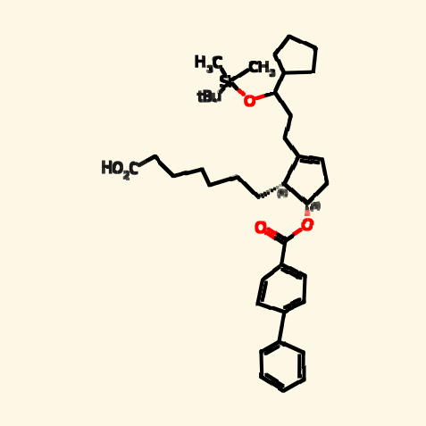 CC(C)(C)[Si](C)(C)OC(CCC1=CC[C@H](OC(=O)c2ccc(-c3ccccc3)cc2)[C@@H]1CCCCCCC(=O)O)C1CCCC1